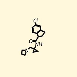 O=C(NC1(CN2CCC2)CC1)C1CCc2cc(Cl)ccc21